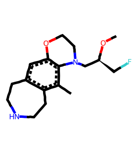 CO[C@@H](CF)CN1CCOc2cc3c(c(C)c21)CCNCC3